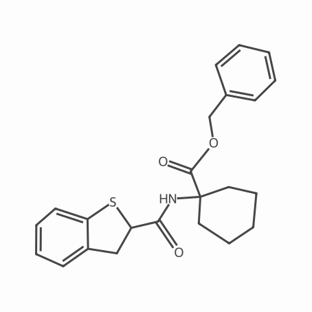 O=C(NC1(C(=O)OCc2ccccc2)CCCCC1)C1Cc2ccccc2S1